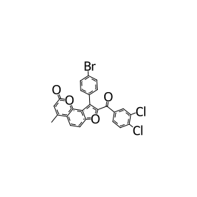 Cc1cc(=O)oc2c1ccc1oc(C(=O)c3ccc(Cl)c(Cl)c3)c(-c3ccc(Br)cc3)c12